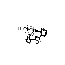 CC(C)(C)OC(=O)N1CCCC1c1cc(-c2cccnc2C#N)no1